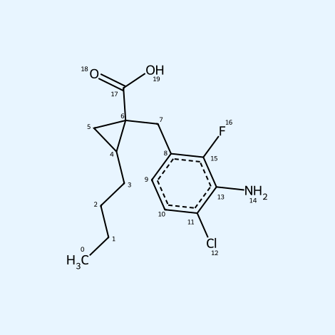 CCCCC1CC1(Cc1ccc(Cl)c(N)c1F)C(=O)O